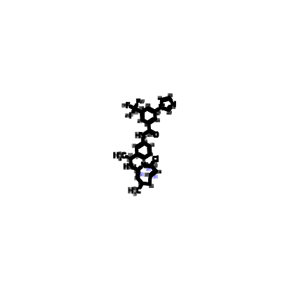 CC1\C=C(N[C@@H](C)c2cccc(NC(=O)c3cc(-n4ccnc4)cc(C(F)(F)F)c3)c2)/N=C(Cl)\C=C\C1